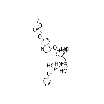 CCOC(=O)COc1ccc2c(Oc3ccc(C[C@@H](CO)NC[C@H](O)COc4ccccc4)cc3)ccnc2c1.Cl.Cl